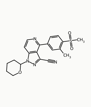 Cc1cc(-c2nccc3c2c(C#N)nn3C2CCCCO2)ccc1S(C)(=O)=O